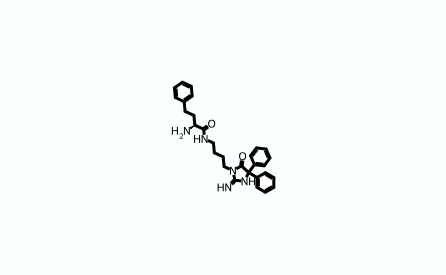 N=C1NC(c2ccccc2)(c2ccccc2)C(=O)N1CCCCNC(=O)[C@@H](N)CCc1ccccc1